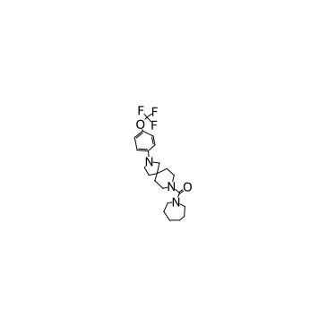 O=C(N1CCCCCC1)N1CCC2(CC1)CCN(c1ccc(OC(F)(F)F)cc1)C2